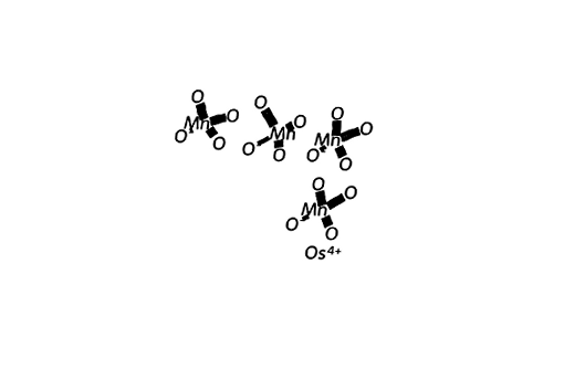 [O]=[Mn](=[O])(=[O])[O-].[O]=[Mn](=[O])(=[O])[O-].[O]=[Mn](=[O])(=[O])[O-].[O]=[Mn](=[O])(=[O])[O-].[Os+4]